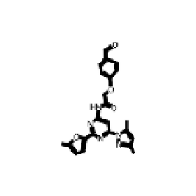 Cc1cc(C)n(-c2cc(NC(=O)COc3ccc(C=O)cc3)nc(-c3ccc(C)o3)n2)n1